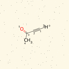 [3H]C#CC(C)=O